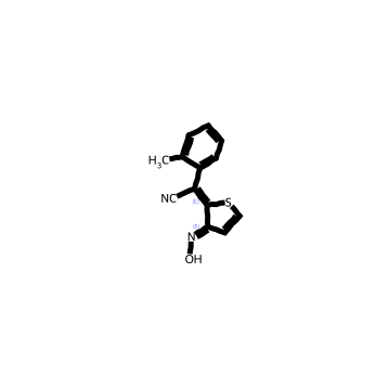 Cc1ccccc1/C(C#N)=C1\SC=C\C1=N/O